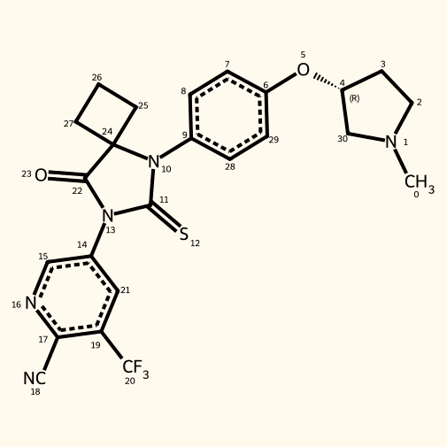 CN1CC[C@@H](Oc2ccc(N3C(=S)N(c4cnc(C#N)c(C(F)(F)F)c4)C(=O)C34CCC4)cc2)C1